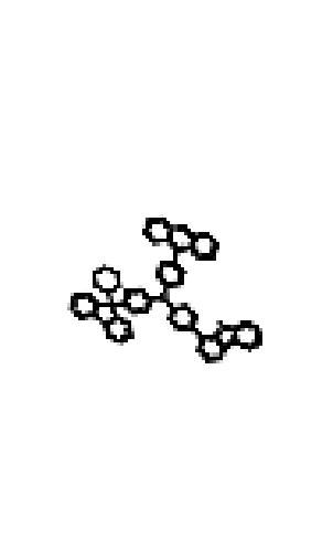 c1ccc2c(c1)-c1ccccc1C2(c1ccc(N(c2ccc(-c3c4ccccc4cc4ccccc34)cc2)c2ccc(-c3cccc4c3sc3ccccc34)cc2)cc1)C1CCCCC1